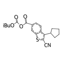 CC(C)COC(=O)OC(=O)c1ccc2c(C3CCCC3)c(C#N)sc2c1